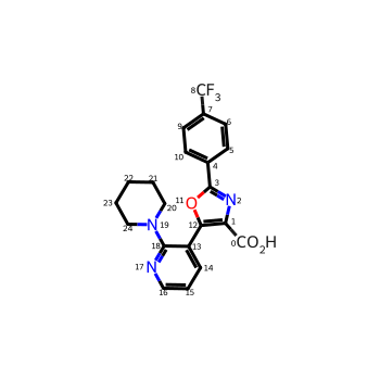 O=C(O)c1nc(-c2ccc(C(F)(F)F)cc2)oc1-c1cccnc1N1CCCCC1